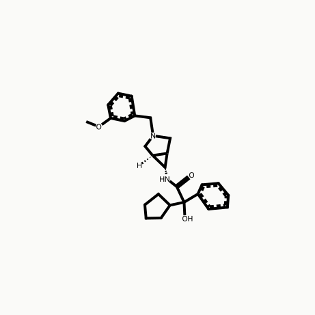 COc1cccc(CN2CC3[C@H](C2)[C@H]3NC(=O)C(O)(c2ccccc2)C2CCCC2)c1